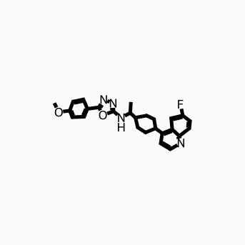 COc1ccc(-c2nnc(NC(C)C3CCC(c4ccnc5ccc(F)cc45)CC3)o2)cc1